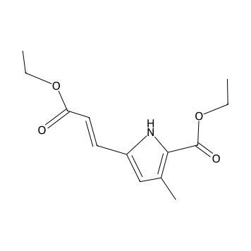 CCOC(=O)C=Cc1cc(C)c(C(=O)OCC)[nH]1